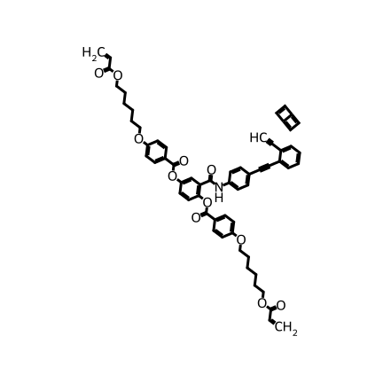 C#Cc1ccccc1C#Cc1ccc(NC(=O)c2cc(OC(=O)c3ccc(OCCCCCCOC(=O)C=C)cc3)ccc2OC(=O)c2ccc(OCCCCCCOC(=O)C=C)cc2)cc1.c1cc2ccc1-2